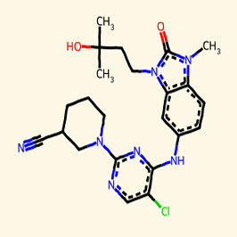 Cn1c(=O)n(CCC(C)(C)O)c2cc(Nc3nc(N4CCCC(C#N)C4)ncc3Cl)ccc21